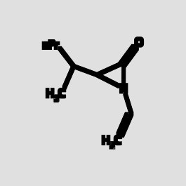 C=CN1C(=O)C1C(C)CCC